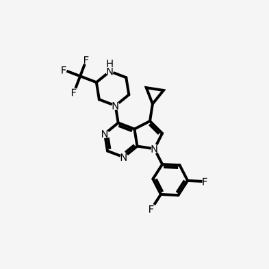 Fc1cc(F)cc(-n2cc(C3CC3)c3c(N4CCNC(C(F)(F)F)C4)ncnc32)c1